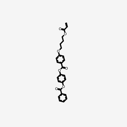 C=CC(=O)OCCCCOc1ccc(C(=O)Oc2ccc(OC(=O)c3ccccc3)cc2)cc1